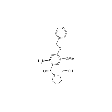 COc1cc(C(=O)N2CCC[C@H]2CO)c(N)cc1OCc1ccccc1